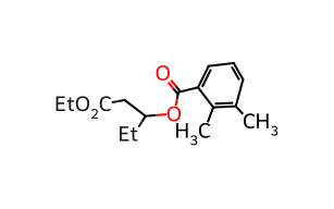 CCOC(=O)CC(CC)OC(=O)c1cccc(C)c1C